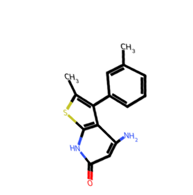 Cc1cccc(-c2c(C)sc3[nH]c(=O)cc(N)c23)c1